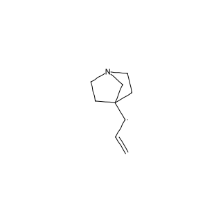 C=C[CH]C12CCN(CC1)C2